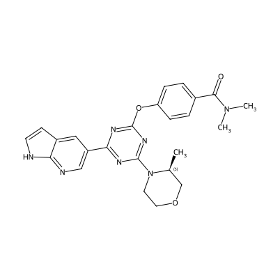 C[C@H]1COCCN1c1nc(Oc2ccc(C(=O)N(C)C)cc2)nc(-c2cnc3[nH]ccc3c2)n1